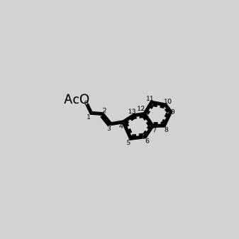 CC(=O)OCC=Cc1ccc2ccccc2c1